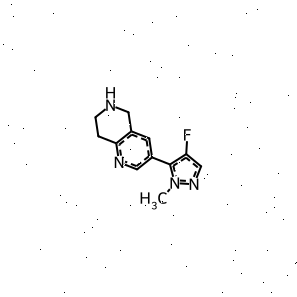 Cn1ncc(F)c1-c1cnc2c(c1)CNCC2